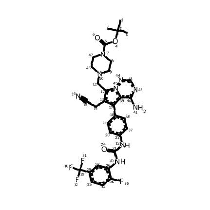 CC(C)(C)OC(=O)N1CCN(Cc2c(CC#N)c(-c3ccc(NC(=O)Nc4cc(C(F)(F)F)ccc4F)cc3)c3c(N)ncnn23)CC1